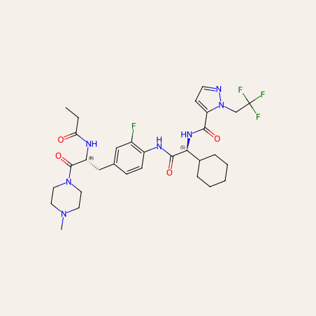 CCC(=O)N[C@H](Cc1ccc(NC(=O)[C@@H](NC(=O)c2ccnn2CC(F)(F)F)C2CCCCC2)c(F)c1)C(=O)N1CCN(C)CC1